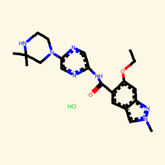 CCOc1cc2nn(C)cc2cc1C(=O)Nc1cnc(N2CCNC(C)(C)C2)cn1.Cl